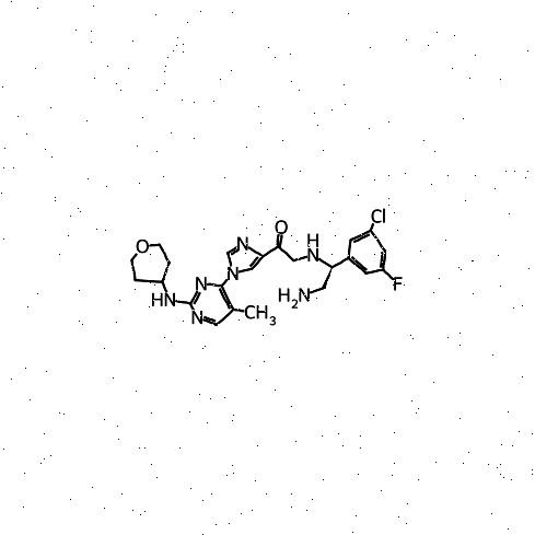 Cc1cnc(NC2CCOCC2)nc1-n1cnc(C(=O)CN[C@H](CN)c2cc(F)cc(Cl)c2)c1